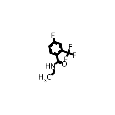 CCNC(=O)c1ccc(F)cc1C(F)(F)F